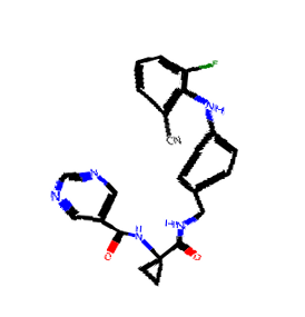 N#Cc1cccc(F)c1Nc1ccc(CNC(=O)C2(NC(=O)c3cncnc3)CC2)cc1